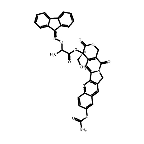 BC(=O)Oc1ccc2nc3c(cc2c1)Cn1c-3cc2c(c1=O)COC(=O)[C@@]2(CC)OC(=O)C(C)ON=C1c2ccccc2-c2ccccc21